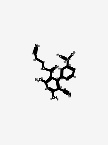 Cc1nc(C)c(C(=O)OCCC#N)c(-c2cccc([N+](=O)[O-])c2)c1C#N